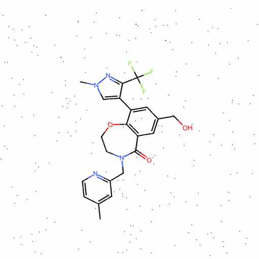 Cc1ccnc(CN2CCOc3c(cc(CO)cc3-c3cn(C)nc3C(F)(F)F)C2=O)c1